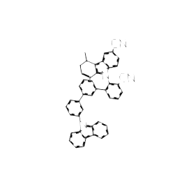 CC1CC=Cc2c1c1cc(C#N)ccc1n2-c1c(C#N)cccc1-c1cccc(-c2cccc(-n3c4ccccc4c4ccccc43)c2)c1